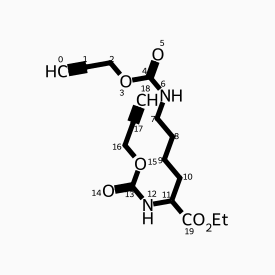 C#CCOC(=O)NCCCCC(NC(=O)OCC#C)C(=O)OCC